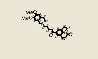 COc1cc2c(cc1OC)CN(CCCCC(=O)c1cc3c4c(c1)CCN4C(=O)CC3)CC2